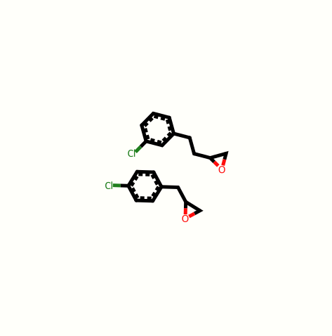 Clc1ccc(CC2CO2)cc1.Clc1cccc(CCC2CO2)c1